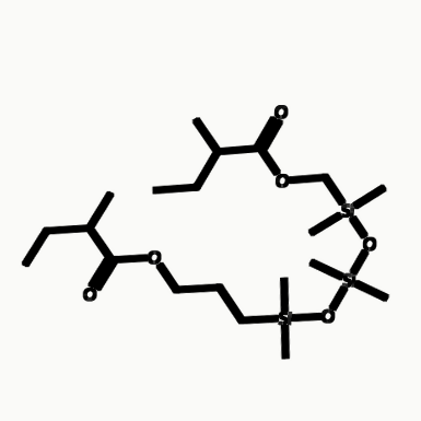 CCC(C)C(=O)OCCC[Si](C)(C)O[Si](C)(C)O[Si](C)(C)COC(=O)C(C)CC